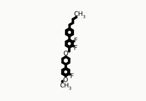 CCCCCc1ccc(-c2ccc(COC3CCC(c4ccc(OCC)c(F)c4)CC3)c(F)c2F)cc1